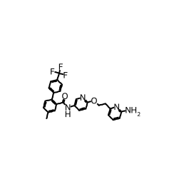 Cc1ccc(-c2ccc(C(F)(F)F)cc2)c(C(=O)Nc2ccc(OCCc3cccc(N)n3)nc2)c1